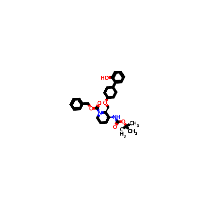 CC(C)(C)OC(=O)N[C@H]1CCCN(C(=O)OCc2ccccc2)[C@H]1COC1CCC(c2ccccc2O)CC1